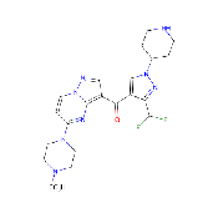 O=C(c1cn(C2CCNCC2)nc1C(F)F)c1cnn2ccc(N3CCN(C(=O)O)CC3)nc12